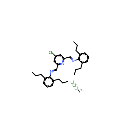 CCCc1cccc(CCC)c1N=Cc1cc(Cl)cc(C=Nc2c(CCC)cccc2CCC)n1.[Cl-].[Cl-].[Cl-].[V+3]